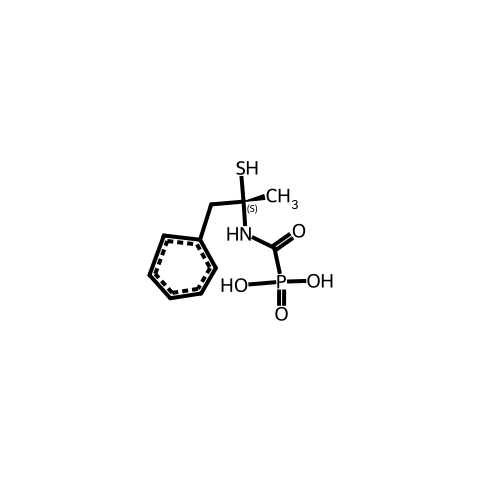 C[C@](S)(Cc1ccccc1)NC(=O)P(=O)(O)O